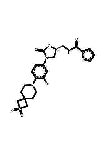 O=C(NC[C@H]1CN(c2ccc(N3CCC4(CC3)CS(=O)(=O)C4)c(F)c2)C(=O)O1)c1ccco1